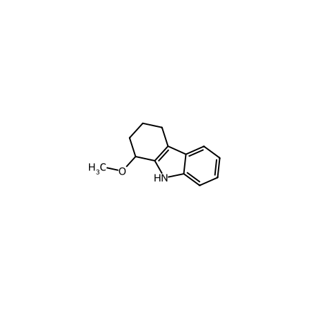 COC1CCCc2c1[nH]c1ccccc21